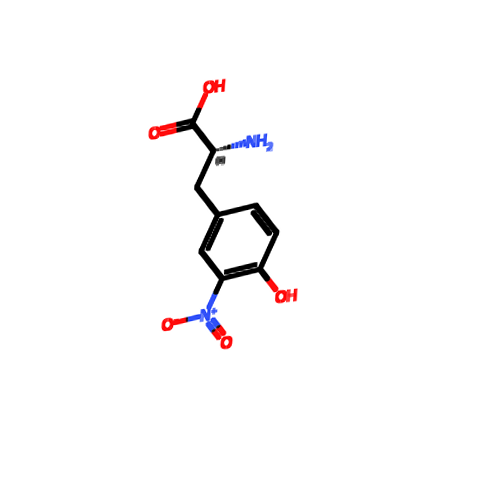 N[C@H](Cc1ccc(O)c([N+](=O)[O-])c1)C(=O)O